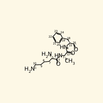 C[C@H](NC(=O)[C@@H](N)CCCCN)C(=O)N[C@H]([C]=O)Cc1ccccc1